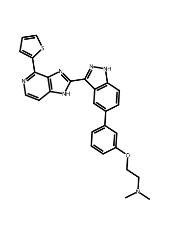 CN(C)CCOc1cccc(-c2ccc3[nH]nc(-c4nc5c(-c6cccs6)nccc5[nH]4)c3c2)c1